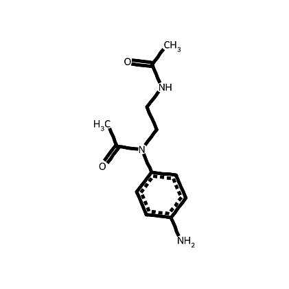 CC(=O)NCCN(C(C)=O)c1ccc(N)cc1